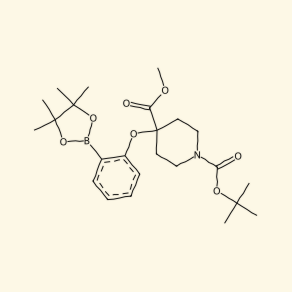 COC(=O)C1(Oc2ccccc2B2OC(C)(C)C(C)(C)O2)CCN(C(=O)OC(C)(C)C)CC1